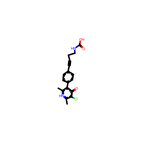 Cc1[nH]c(C)c(-c2ccc(C#CCCNC(=O)O)cc2)c(=O)c1Cl